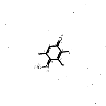 CC1=CC(=O)C(C)=C(C)C1=NO